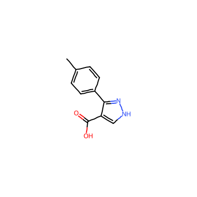 Cc1ccc(-c2n[nH]cc2C(=O)O)cc1